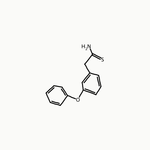 NC(=S)Cc1cccc(Oc2ccccc2)c1